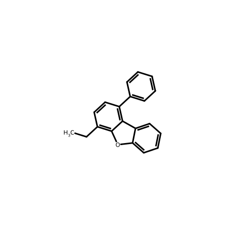 CCc1ccc(-c2ccccc2)c2c1oc1ccccc12